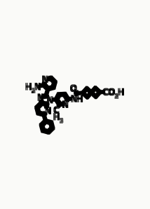 Cc1nc(NC(=O)C2CC3(CC(C(=O)O)C3)C2)ccc1-n1c(-c2cccnc2N)nc2ccc(-c3ccccc3)nc21